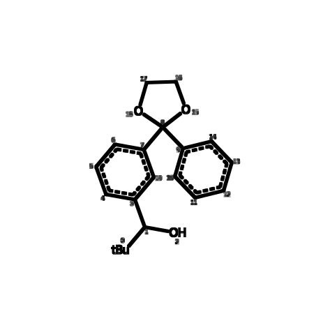 CC(C)(C)C(O)c1cccc(C2(c3ccccc3)OCCO2)c1